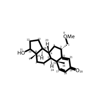 COC[C@H]1C[C@@H]2[C@H](CC[C@]3(C)C(O)CC[C@@H]23)[C@@]2(C)C=CC(=O)C=C12